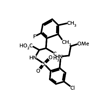 COCCNc1cc(Cl)ccc1S(=O)(=O)NC(C(=O)O)C(C)c1c(F)ccc(C)c1C